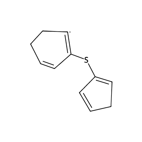 [C]1=C(SC2=CCC=C2)C=CCC1